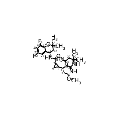 COCC[C@H](C1C[C@H]1C(=O)N[C@H]1CC(C)(C)Oc2c(F)cc(F)cc21)N1C(=N)NC(C)(C)CC1=O